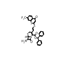 N[C@@H]1C(=O)N2C(C(=O)OC(c3ccccc3)c3ccccc3)=C(C=CSc3cc(=O)c4ccc(C(F)(F)F)cc4s3)CS[C@@H]12